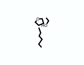 C1CCOC1.CCCCCC.CCO